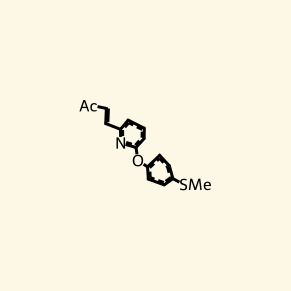 CSc1ccc(Oc2cccc(C=CC(C)=O)n2)cc1